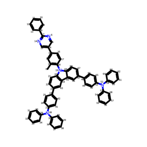 Cc1cc(-c2cnc(-c3ccccc3)nc2)ccc1-n1c2ccc(-c3ccc(N(c4ccccc4)c4ccccc4)cc3)cc2c2cc(-c3ccc(N(c4ccccc4)c4ccccc4)cc3)ccc21